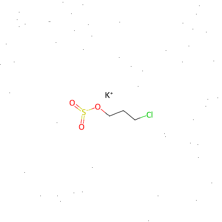 O=[S-](=O)OCCCCl.[K+]